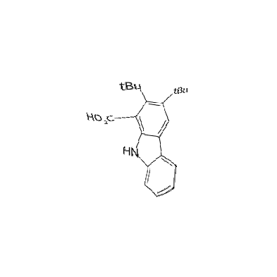 CC(C)(C)c1cc2c([nH]c3ccccc32)c(C(=O)O)c1C(C)(C)C